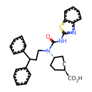 O=C(Nc1nc2ccccc2s1)N(CCC(c1ccccc1)c1ccccc1)[C@H]1CC[C@H](C(=O)O)CC1